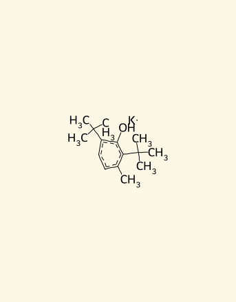 Cc1ccc(C(C)(C)C)c(O)c1C(C)(C)C.[K]